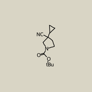 CC(C)(C)OC(=O)N1CCC(C#N)(C2CC2)C1